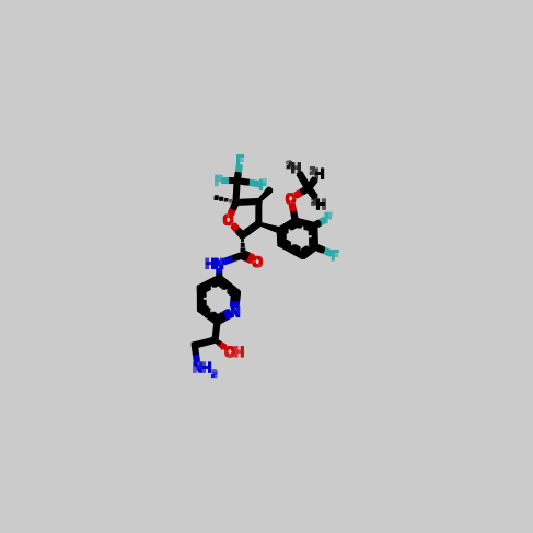 [2H]C([2H])([2H])Oc1c([C@H]2[C@H](C(=O)Nc3ccc([C@@H](O)CN)nc3)O[C@@](C)(C(F)(F)F)[C@H]2C)ccc(F)c1F